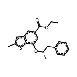 CCOC(=O)c1cc(O[C@@H](C)Cc2ccccc2)c2sc(C)cc2c1